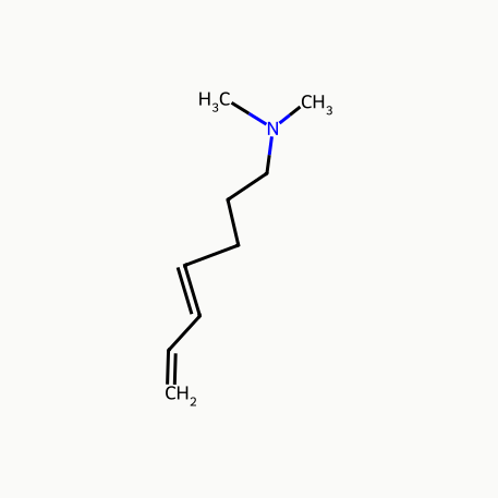 C=CC=CCCCN(C)C